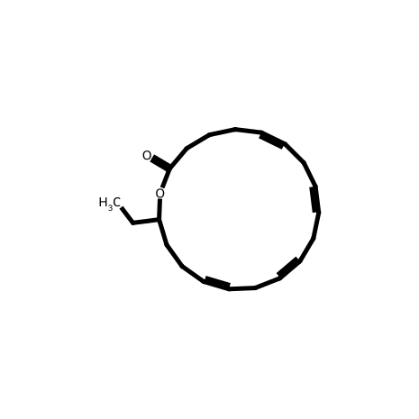 CCC1CCC=CCC=CCC=CCC=CCCCC(=O)O1